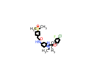 CCn1c(C(C)(C)Oc2ccc(Cl)c(F)c2)nc2cc(NC(=O)Cc3ccc([SH](C)(=O)CC)cc3)ccc21